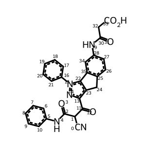 N#CC(C(=O)Nc1ccccc1)C(=O)c1nn(-c2ccccc2)c2c1Cc1ccc(NC(=O)CC(=O)O)cc1-2